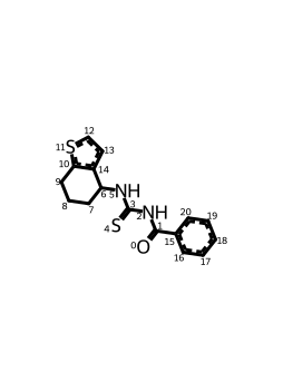 O=C(NC(=S)NC1CCCc2sccc21)c1ccccc1